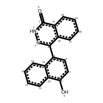 O=c1[nH]nc(-c2ccc(O)c3ccccc23)c2ccccc12